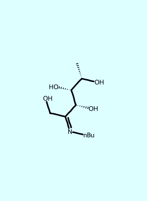 CCCCN=C(CO)[C@@H](O)[C@H](O)[C@H](C)O